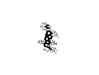 CC1CC2OC3(OC2C(C)(C)C)C1C1(C)CCC24CC25CCC(OC2OCC(O)C(O)C2O)C(C)(C)C5CCC4C1(C)C3O